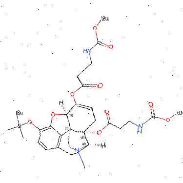 CN1CC[C@]23c4c5ccc(O[Si](C)(C)C(C)(C)C)c4O[C@H]2C(OC(=O)CCNC(=O)OC(C)(C)C)=CC[C@@]3(OC(=O)CCNC(=O)OC(C)(C)C)[C@H]1C5